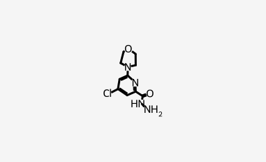 NNC(=O)c1cc(Cl)cc(N2CCOCC2)n1